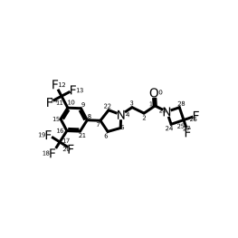 O=C(CCN1CCC(c2cc(C(F)(F)F)cc(C(F)(F)F)c2)C1)N1CC(F)(F)C1